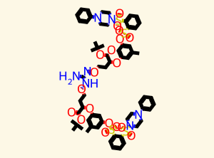 Cc1cc(OC(CCON=C(N)NOCCC(Oc2cc(C)cc(OS(=O)(=O)c3ccccc3S(=O)(=O)N3CCN(c4ccccc4)CC3)c2)C(=O)OC(C)(C)C)C(=O)OC(C)(C)C)cc(OS(=O)(=O)c2ccccc2S(=O)(=O)N2CCN(c3ccccc3)CC2)c1